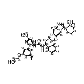 C[C@H]1CCCCN1c1nnc2ccc(O[C@@H]3CC[C@H](NC(=O)Nc4cc(C(C)(C)C)nn4-c4cc(F)cc(OCCO)c4)c4ccccc43)cn12